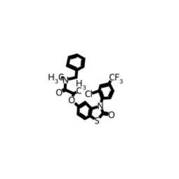 CC(Oc1ccc2sc(=O)n(-c3ccc(C(F)(F)F)cc3Cl)c2c1)C(=O)N(C)Cc1ccccc1